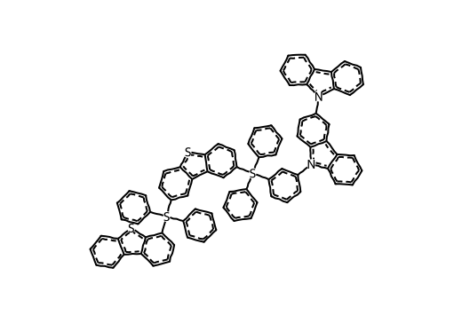 c1ccc(S(c2ccccc2)(c2cccc(-n3c4ccccc4c4cc(-n5c6ccccc6c6ccccc65)ccc43)c2)c2ccc3sc4ccc(S(c5ccccc5)(c5ccccc5)c5cccc6c5sc5ccccc56)cc4c3c2)cc1